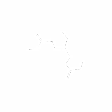 C=C(CC)CCN(CC)CCC(=C)OC